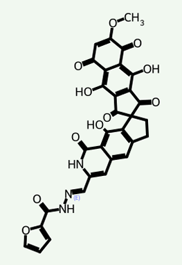 COC1=CC(=O)c2c(O)c3c(c(O)c2C1=O)C(=O)C1(CCc2cc4cc(/C=N/NC(=O)c5ccco5)[nH]c(=O)c4c(O)c21)C3=O